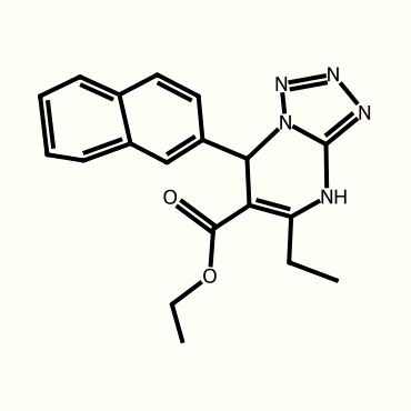 CCOC(=O)C1=C(CC)Nc2nnnn2C1c1ccc2ccccc2c1